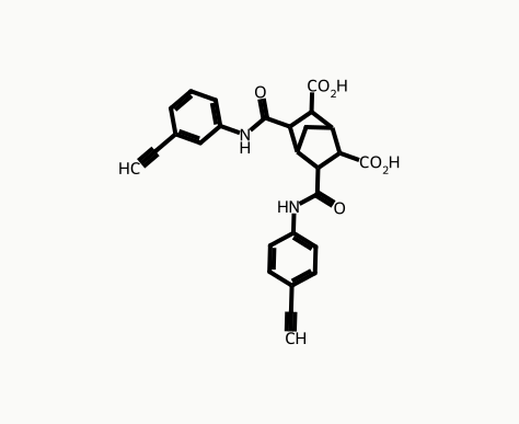 C#Cc1ccc(NC(=O)C2C3CC(C2C(=O)O)C(C(=O)O)C3C(=O)Nc2cccc(C#C)c2)cc1